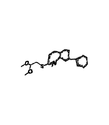 COC(CSc1ccc2ccc(-c3ccccc3)cc2n1)OC